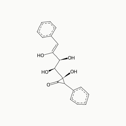 O=C1C(c2ccccc2)[C@@]1(O)[C@@H](O)[C@H](O)C(O)=Cc1ccccc1